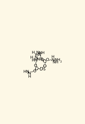 CC(=N)NCCCOc1cc(OCCCNC(=N)N)cc(-c2ccc3sc4ccc(-c5cc(OCCCNC(=N)N)cc(OCCCNC(=N)N)c5)cc4c3c2)c1